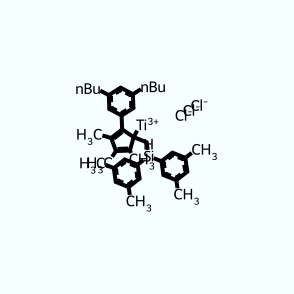 CCCCc1cc(CCCC)cc(C2=C(C)C(C)=C(C)[C]2([Ti+3])C[SiH](c2cc(C)cc(C)c2)c2cc(C)cc(C)c2)c1.[Cl-].[Cl-].[Cl-]